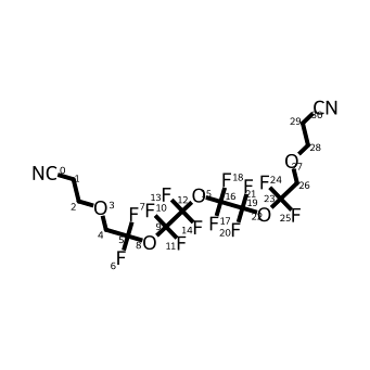 N#CCCOCC(F)(F)OC(F)(F)C(F)(F)OC(F)(F)C(F)(F)OC(F)(F)COCCC#N